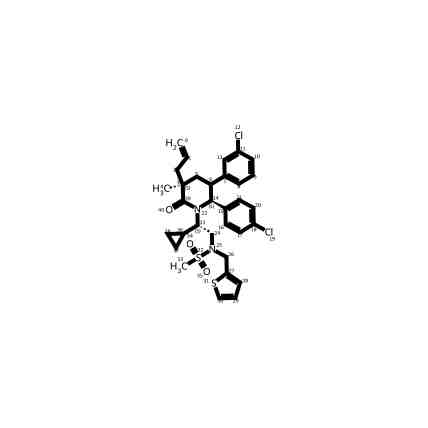 C=CC[C@@]1(C)CC(c2cccc(Cl)c2)[C@@H](c2ccc(Cl)cc2)N([C@H](CN(Cc2cccs2)S(C)(=O)=O)C2CC2)C1=O